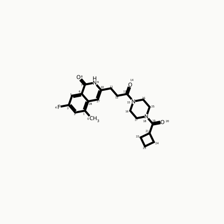 Cc1cc(F)cc2c(=O)[nH]c(CCC(=O)N3CCN(C(=O)C4CCC4)CC3)cc12